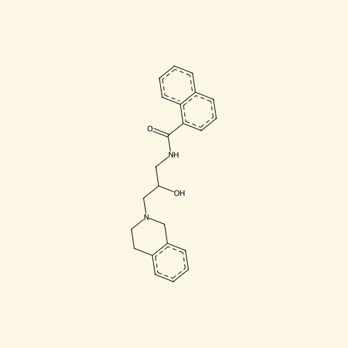 O=C(NCC(O)CN1CCc2ccccc2C1)c1cccc2ccccc12